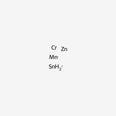 [Cr].[Mn].[SnH2].[Zn]